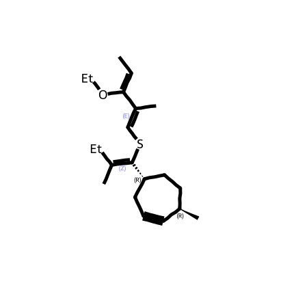 CC=C(OCC)/C(C)=C/S/C(=C(/C)CC)[C@H]1CC#C[C@H](C)CC1